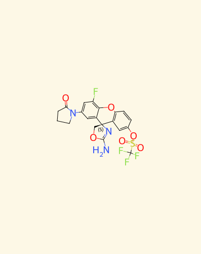 NC1=N[C@@]2(CO1)c1cc(OS(=O)(=O)C(F)(F)F)ccc1Oc1c(F)cc(N3CCCC3=O)cc12